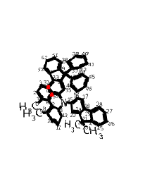 Cc1ccccc1-c1c(C)cccc1N(c1ccc2c(c1)C(C)(C)c1ccccc1-2)c1ccc2c(c1)C(c1ccccc1)(c1ccccc1)c1ccccc1-2